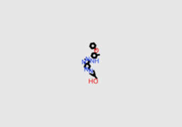 Cc1cc(Nc2ncnc3cnc(N4CC5C(CO)C5C4)cc23)ccc1Oc1ccccc1